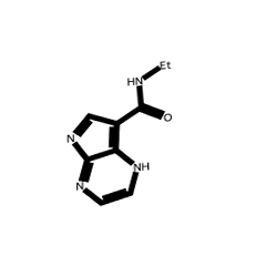 CCNC(=O)c1cnc2ncc[nH]c1-2